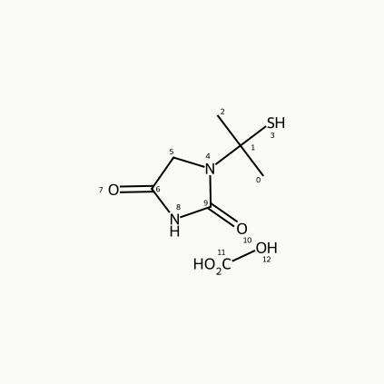 CC(C)(S)N1CC(=O)NC1=O.O=C(O)O